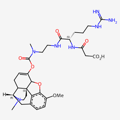 COc1ccc2c3c1OC1C(OC(=O)N(C)CCNC(=O)[C@H](CCCNC(=N)N)NC(=O)CC(=O)O)=CCC4[C@@H](C2)N(C)CC[C@]314